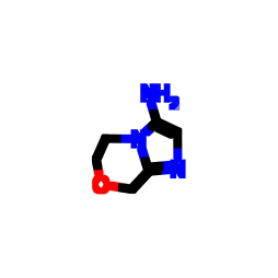 Nc1cnc2n1CCOC2